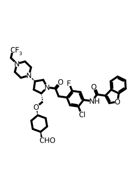 O=C[C@H]1CC[C@H](OC[C@@H]2C[C@H](N3CCN(CC(F)(F)F)CC3)CN2C(=O)Cc2cc(Cl)c(NC(=O)c3coc4ccccc34)cc2F)CC1